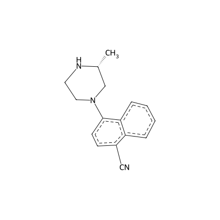 C[C@@H]1CN(c2ccc(C#N)c3ccccc23)CCN1